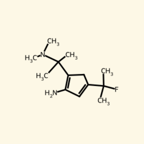 CN(C)C(C)(C)C1=C(N)C=C(C(C)(C)F)C1